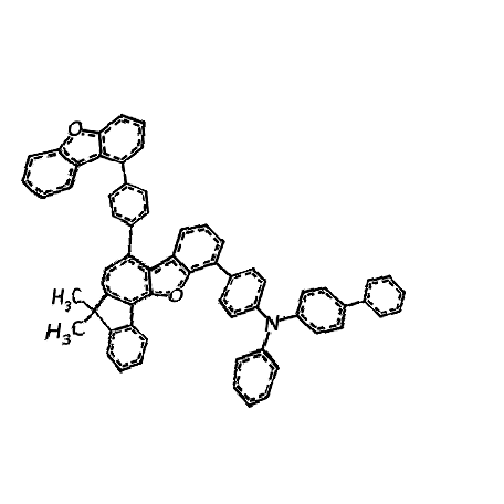 CC1(C)c2ccccc2-c2c1cc(-c1ccc(-c3cccc4oc5ccccc5c34)cc1)c1c2oc2c(-c3ccc(N(c4ccccc4)c4ccc(-c5ccccc5)cc4)cc3)cccc21